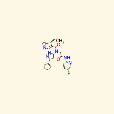 C=Nc1c(/C=C\C)c(=O)n(CC(=O)Nc2ccc(F)cn2)c2cc(C3=CCCC3)nn12